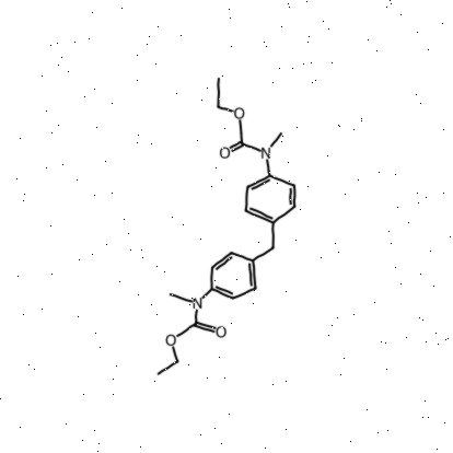 CCOC(=O)N(C)c1ccc(Cc2ccc(N(C)C(=O)OCC)cc2)cc1